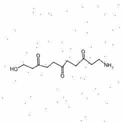 NCCC(=O)CCC(=O)CCC(=O)CCO